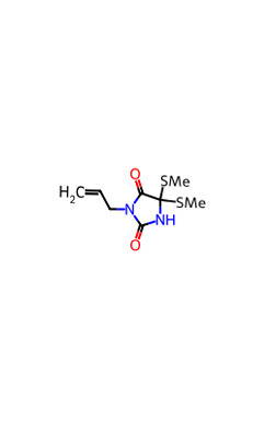 C=CCN1C(=O)NC(SC)(SC)C1=O